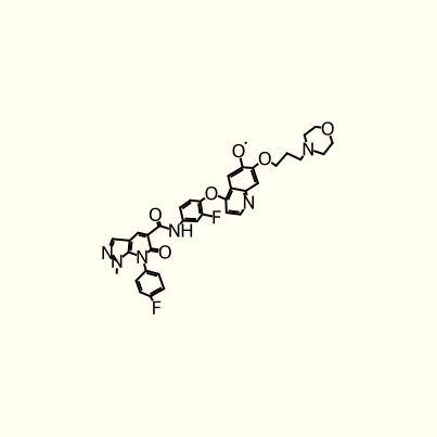 COc1cc2c(Oc3ccc(NC(=O)c4cc5cnn(C)c5n(-c5ccc(F)cc5)c4=O)cc3F)ccnc2cc1OCCCN1CCOCC1